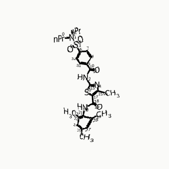 CCCN(CCC)S(=O)(=O)c1ccc(C(=O)Nc2nc(C)c(C(=O)Nc3c(C)cc(C)cc3C)s2)cc1